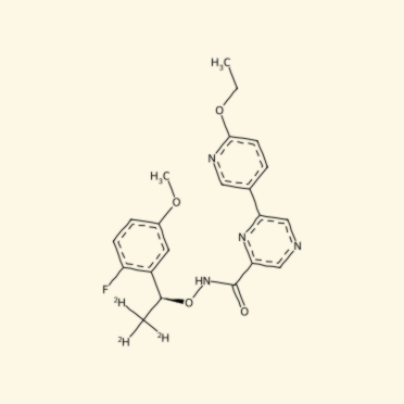 [2H]C([2H])([2H])[C@H](ONC(=O)c1cncc(-c2ccc(OCC)nc2)n1)c1cc(OC)ccc1F